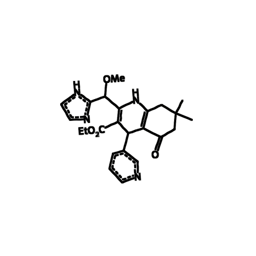 CCOC(=O)C1=C(C(OC)c2ncc[nH]2)NC2=C(C(=O)CC(C)(C)C2)C1c1cccnc1